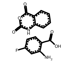 Nc1cc(F)ccc1C(=O)O.O=c1[nH]c2ccccc2c(=O)o1